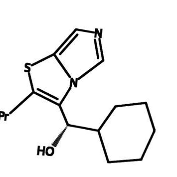 CC(C)c1sc2cncn2c1[C@@H](O)C1CCCCC1